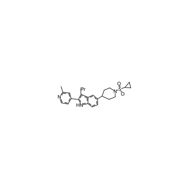 Cc1cc(-c2[nH]c3ccc(C4CCN(S(=O)(=O)C5CC5)CC4)cc3c2C(C)C)ccn1